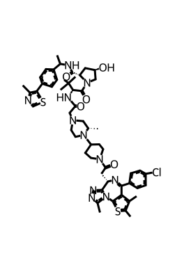 Cc1ncsc1-c1ccc(C(C)NC(=O)[C@@H]2C[C@@H](O)CN2C(=O)[C@@H](NC(=O)CN2CCN(C3CCN(C(=O)C[C@@H]4N=C(c5ccc(Cl)cc5)c5c(sc(C)c5C)-n5c(C)nnc54)CC3)[C@@H](C)C2)C(C)(C)C)cc1